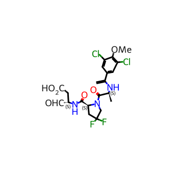 C=C(N[C@@H](C)C(=O)N1CC(F)(F)C[C@H]1C(=O)N[C@H](C=O)CC(=O)O)c1cc(Cl)c(OC)c(Cl)c1